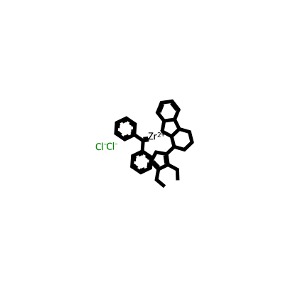 CCC1=CCC(C2CCCC3C4C=CC=CC4[CH]([Zr+2]=[C](c4ccccc4)c4ccccc4)C23)=C1CC.[Cl-].[Cl-]